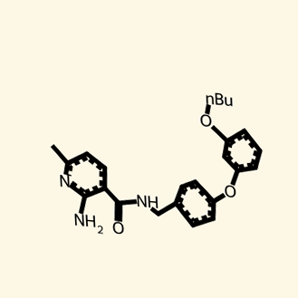 CCCCOc1cccc(Oc2ccc(CNC(=O)c3ccc(C)nc3N)cc2)c1